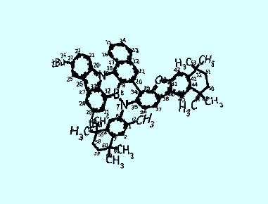 Cc1cc2c(cc1N1B3c4c(cc5ccccc5c4-n4c5ccc(C(C)(C)C)cc5c5cc(C(C)(C)C)cc3c54)-c3c1ccc1c3oc3cc4c(cc31)C(C)(C)CCC4(C)C)C(C)(C)CCC2(C)C